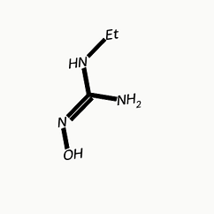 CCN/C(N)=N/O